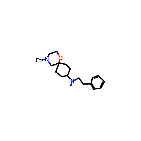 CCN1CCOC2(CCC(N(C)CCc3ccccc3)CC2)C1